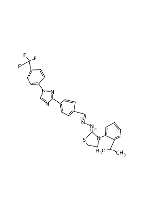 CC(C)c1ccccc1N1CCS/C1=N\N=C\c1ccc(-c2ncn(-c3ccc(C(F)(F)F)cc3)n2)cc1